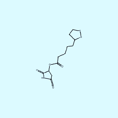 O=C1CC(OC(=O)CCCCC2CCSS2)C(=O)N1